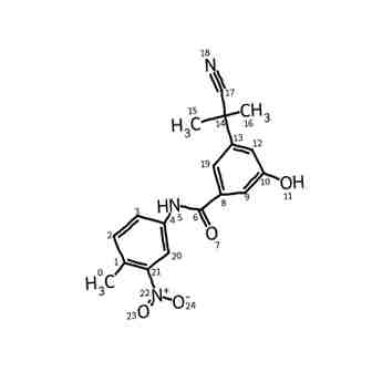 Cc1ccc(NC(=O)c2cc(O)cc(C(C)(C)C#N)c2)cc1[N+](=O)[O-]